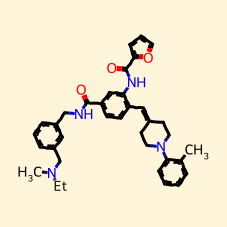 CCN(C)Cc1cccc(CNC(=O)c2ccc(C=C3CCN(c4ccccc4C)CC3)c(NC(=O)c3ccco3)c2)c1